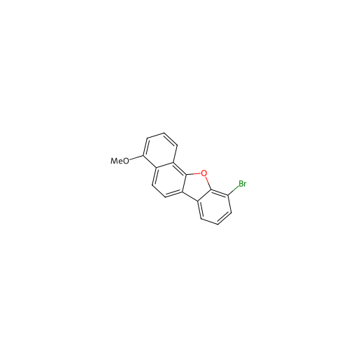 COc1cccc2c1ccc1c3cccc(Br)c3oc21